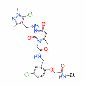 CCNC(=O)COc1ccc(Cl)cc1CNC(=O)Cn1c(C)cc(=O)n(NCc2c(C)nn(C)c2Cl)c1=O